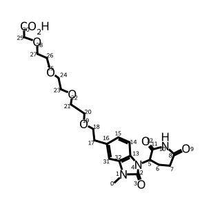 Cn1c(=O)n(C2CCC(=O)NC2=O)c2ccc(CCOCCOCCOCCOCC(=O)O)cc21